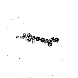 COC(=O)N[C@H](C(=O)N1CCC[C@H]1c1ncc(-c2ccc(-c3ccc(-c4cnc(C5CCCCC5C(=O)NC5(c6cccnc6)CC5)[nH]4)cc3)cc2)[nH]1)C(C)C